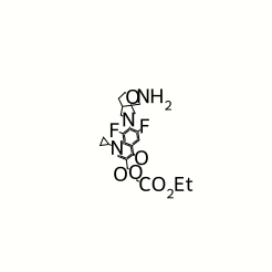 CCOC(=O)COC(=O)c1cn(C2CC2)c2c(F)c(N3CC4CCOC4(CN)C3)c(F)cc2c1=O